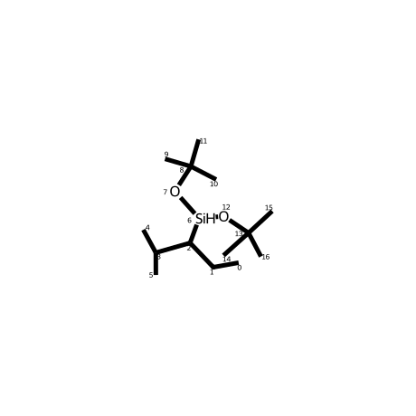 CCC(C(C)C)[SiH](OC(C)(C)C)OC(C)(C)C